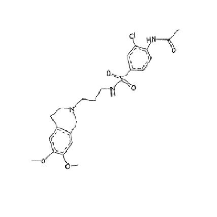 COc1cc2c(cc1OC)CN(CCCNS(=O)(=O)c1ccc(NC(C)=O)c(Cl)c1)CC2